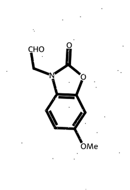 COc1ccc2c(c1)oc(=O)n2CC=O